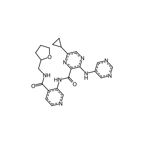 O=C(NCC1CCCO1)c1ccncc1NC(=O)c1nc(C2CC2)cnc1Nc1cncnc1